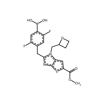 COC(=O)c1cc2c(nc(Cc3cc(F)c(B(O)O)cc3F)n2CC2CCO2)s1